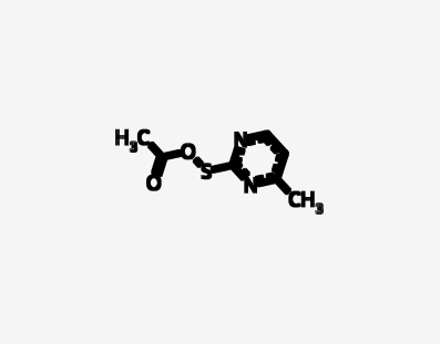 CC(=O)OSc1nccc(C)n1